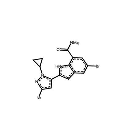 CNC(=O)c1cc(Br)cc2cc(-c3cc(Br)nn3C3CC3)[nH]c12